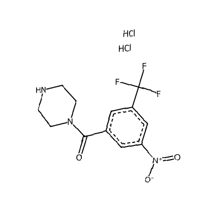 Cl.Cl.O=C(c1cc([N+](=O)[O-])cc(C(F)(F)F)c1)N1CCNCC1